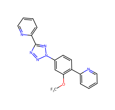 FC(F)(F)Oc1cc(-n2nnc(-c3ccccn3)n2)ccc1-c1ccccn1